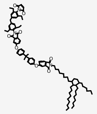 CCCCCCCCCC1C(CCCCCCCCN2C(=O)c3ccc(Oc4ccc(C(C)(C)c5ccc(Oc6ccc7c(c6)C(=O)N(c6c(CC)cc(Cc8cc(CC)c(N9C(=O)C=CC9=O)c(CC)c8)cc6CC)C7=O)cc5)cc4)cc3C2=O)CCC(CCCCCC)C1CCCCCCCC